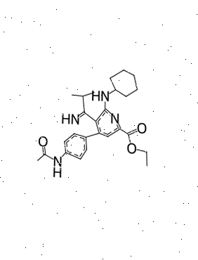 CCOC(=O)c1cc(-c2ccc(NC(C)=O)cc2)c(C(=N)C(C)C)c(NC2CCCCC2)n1